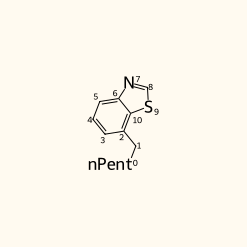 [CH2]CCCCCc1cccc2ncsc12